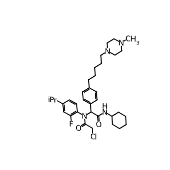 CC(C)c1ccc(N(C(=O)CCl)C(C(=O)NC2CCCCC2)c2ccc(CCCCCN3CCN(C)CC3)cc2)c(F)c1